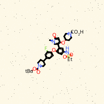 CCS(=O)(=O)Nc1ccc(Oc2ccc(C3CCN(C(=O)OC(C)(C)C)CC3)cc2F)c(-c2cn(C)c(=O)cc2OC2CCN(C(=O)O)CC2)c1